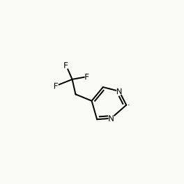 FC(F)(F)Cc1cn[c]nc1